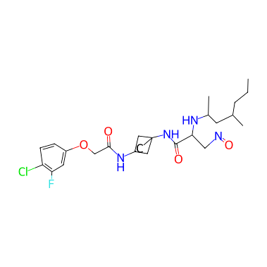 CCCC(C)CC(C)NC(CN=O)C(=O)NC12CC(NC(=O)COc3ccc(Cl)c(F)c3)(C1)C2